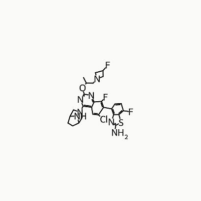 CC(CN1CC(F)C1)Oc1nc(N2CC3CCC(C2)N3)c2cc(Cl)c(-c3ccc(F)c4sc(N)nc34)c(F)c2n1